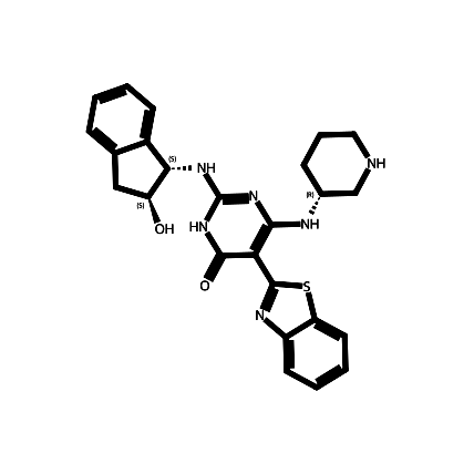 O=c1[nH]c(N[C@H]2c3ccccc3C[C@@H]2O)nc(N[C@@H]2CCCNC2)c1-c1nc2ccccc2s1